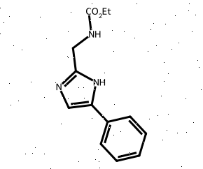 CCOC(=O)NCc1ncc(-c2ccccc2)[nH]1